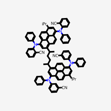 CC(C)c1cc(N(c2ccccc2)c2cccc(C#N)c2)c2ccc3c(C(C)CCC(C)c4cc(N(c5ccccc5)c5ccccc5C#N)c5ccc6c(C(C)C)cc(N(c7ccccc7)c7ccccc7C#N)c7ccc4c5c67)cc(N(c4ccccc4)c4cccc(C#N)c4)c4ccc1c2c34